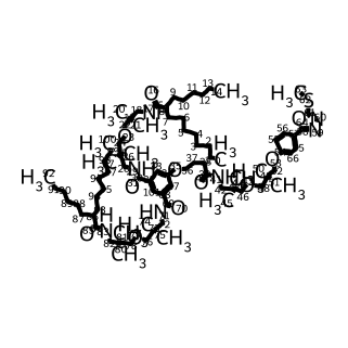 CCCCCCCCC(CCCCCC)C(=O)NCC(C)(C)COCC(C)(C)CNC(=O)c1cc(OCCCC(=O)NCC(C)(C)COCC(C)(C)COc2ccc(-c3nnc(SC)o3)cc2)cc(C(=O)NCC(C)(C)COCC(C)(C)CNC(=O)C(CCCCCC)CCCCCCCC)c1